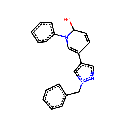 OC1C=CC(c2cnn(Cc3ccccc3)c2)=CN1c1ccccc1